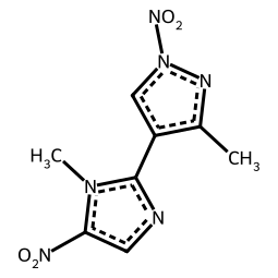 Cc1nn([N+](=O)[O-])cc1-c1ncc([N+](=O)[O-])n1C